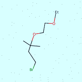 CCOCCOC(C)(C)CCBr